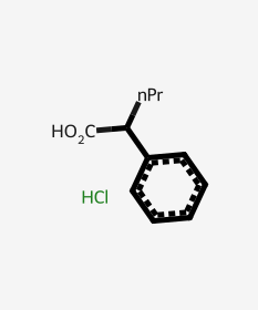 CCCC(C(=O)O)c1ccccc1.Cl